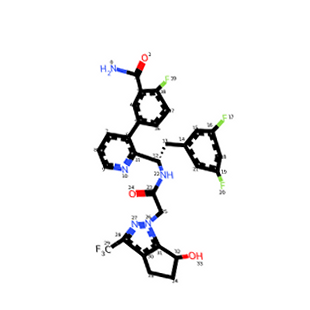 NC(=O)c1cc(-c2cccnc2[C@H](Cc2cc(F)cc(F)c2)NC(=O)Cn2nc(C(F)(F)F)c3c2C(O)CC3)ccc1F